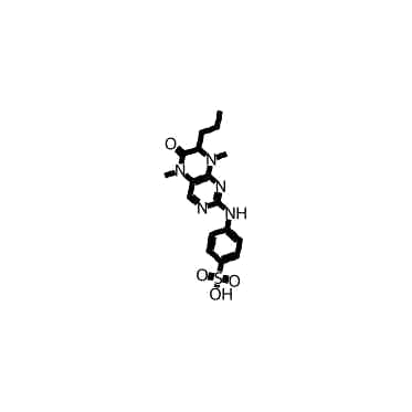 CCCC1C(=O)N(C)c2cnc(Nc3ccc(S(=O)(=O)O)cc3)nc2N1C